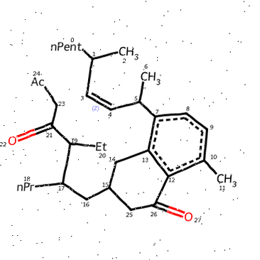 CCCCCC(C)/C=C\C(C)c1ccc(C)c2c1CC(CC(CCC)C(CC)C(=O)CC(C)=O)CC2=O